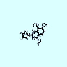 COc1ccc2c(OC)nc(-n3cccn3)nc2c1Cl